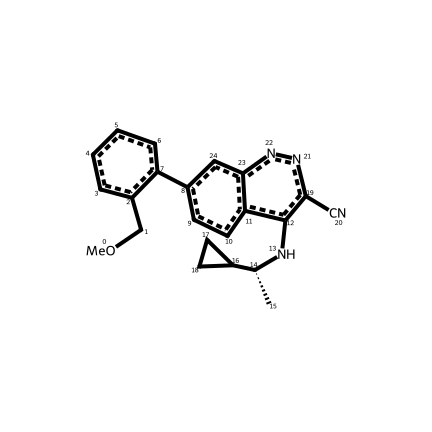 COCc1ccccc1-c1ccc2c(N[C@H](C)C3CC3)c(C#N)nnc2c1